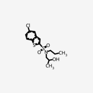 CCCN(CC(C)O)S(=O)(=O)c1cc2cc(Cl)ccc2s1